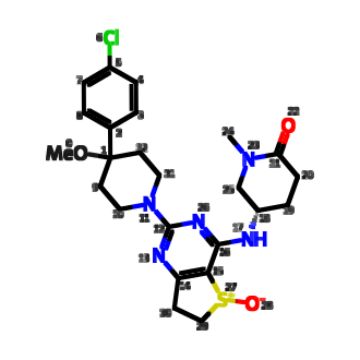 COC1(c2ccc(Cl)cc2)CCN(c2nc3c(c(N[C@H]4CCC(=O)N(C)C4)n2)[S+]([O-])CC3)CC1